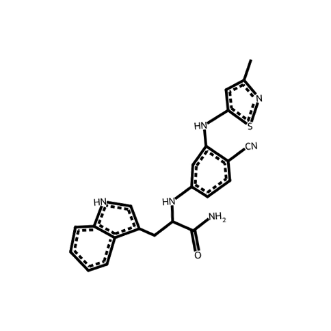 Cc1cc(Nc2cc(NC(Cc3c[nH]c4ccccc34)C(N)=O)ccc2C#N)sn1